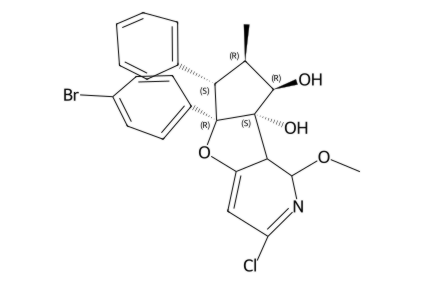 COC1N=C(Cl)C=C2O[C@@]3(c4ccc(Br)cc4)[C@H](c4ccccc4)[C@@H](C)[C@@H](O)[C@@]3(O)C21